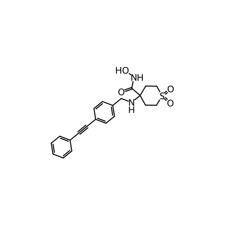 O=C(NO)C1(NCc2ccc(C#Cc3ccccc3)cc2)CCS(=O)(=O)CC1